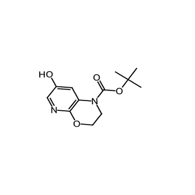 CC(C)(C)OC(=O)N1CCOc2ncc(O)cc21